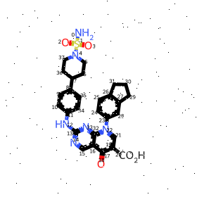 NS(=O)(=O)N1CCC(c2ccc(Nc3ncc4c(=O)c(C(=O)O)cn(-c5ccc6c(c5)CCC6)c4n3)cc2)CC1